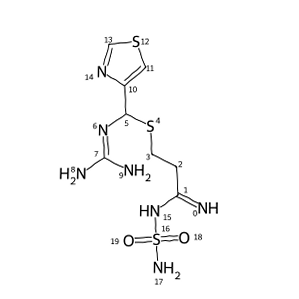 N=C(CCSC(N=C(N)N)c1cscn1)NS(N)(=O)=O